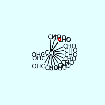 O=[CH][Co]([CH]=O)([CH]=O)([CH]=O)([CH]=O)([CH]=O)([CH]=O)([CH]=O)([CH]=O)([CH]=O)([CH]=O)([CH]=O)([CH]=O)([CH]=O)([CH]=O)[CH]=O